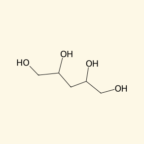 OCC(O)CC(O)CO